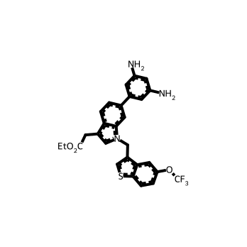 CCOC(=O)Cc1cn(Cc2csc3ccc(OC(F)(F)F)cc23)c2cc(-c3cc(N)cc(N)c3)ccc12